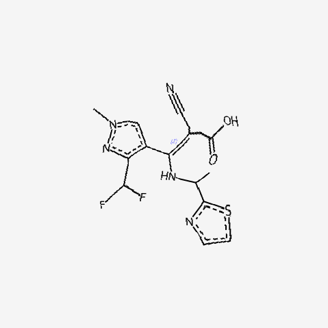 CC(N/C(=C(/C#N)C(=O)O)c1cn(C)nc1C(F)F)c1nccs1